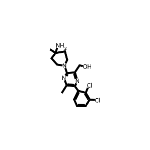 Cc1nc(N2CCC(C)(N)CC2)c(CO)nc1-c1cccc(Cl)c1Cl